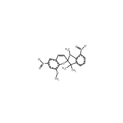 COc1cc([N+](=O)[O-])cc2c1OC1(C=C2)N(C)c2c([N+](=O)[O-])cccc2C1(C)C